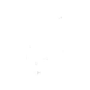 OB(O)Oc1c(F)cc(CBr)cc1Cl